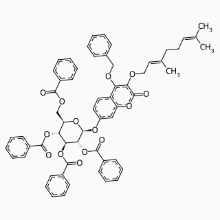 CC(C)=CCC/C(C)=C/COc1c(OCc2ccccc2)c2ccc(O[C@@H]3O[C@H](COC(=O)c4ccccc4)[C@@H](OC(=O)c4ccccc4)[C@H](OC(=O)c4ccccc4)[C@H]3OC(=O)c3ccccc3)cc2oc1=O